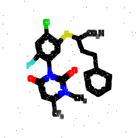 Cn1c(C(F)(F)F)cc(=O)n(-c2cc(SC(CCc3ccccc3)C(=O)O)c(Cl)cc2F)c1=O